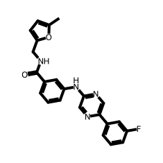 Cc1ccc(CNC(=O)c2cccc(Nc3cnc(-c4cccc(F)c4)cn3)c2)o1